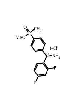 COP(C)(=O)c1ccc([C@@H](N)c2ccc(F)cc2F)cc1.Cl